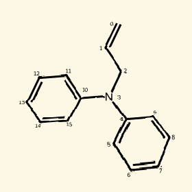 C=CCN(c1cc[c]cc1)c1ccccc1